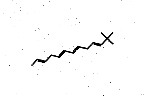 CC=CCC=CC=CCC=CC(C)(C)C